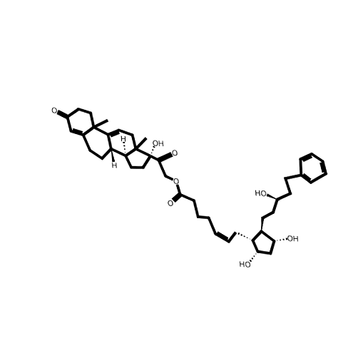 CC12CCC(=O)C=C1CC[C@@H]1C2=CCC2(C)[C@H]1CC[C@]2(O)C(=O)COC(=O)CCC/C=C\C[C@@H]1[C@@H](CC[C@@H](O)CCc2ccccc2)[C@H](O)C[C@@H]1O